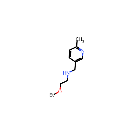 CCOCCNCc1ccc(C)nc1